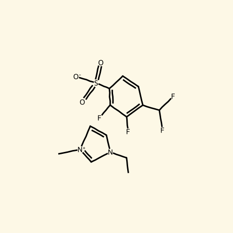 CCn1cc[n+](C)c1.O=S(=O)([O-])c1ccc(C(F)F)c(F)c1F